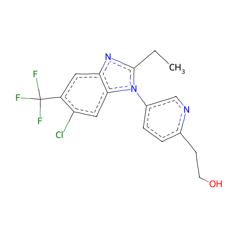 CCc1nc2cc(C(F)(F)F)c(Cl)cc2n1-c1ccc(CCO)nc1